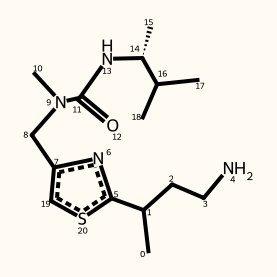 CC(CCN)c1nc(CN(C)C(=O)N[C@H](C)C(C)C)cs1